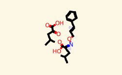 CC(C)C/C(=N/OC/C=C/c1ccccc1)C(=O)O.CC(C)CC(=O)C(=O)O